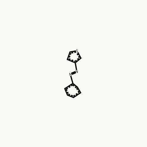 [c]1sccc1N=Nc1ccccc1